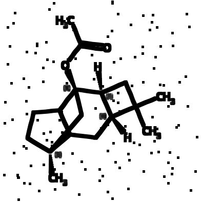 CC(=O)O[C@@]12C[C@]3(C)CCC1C3C[C@@H]1[C@@H]2CC1(C)C